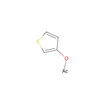 CC(=O)Oc1ccsc1